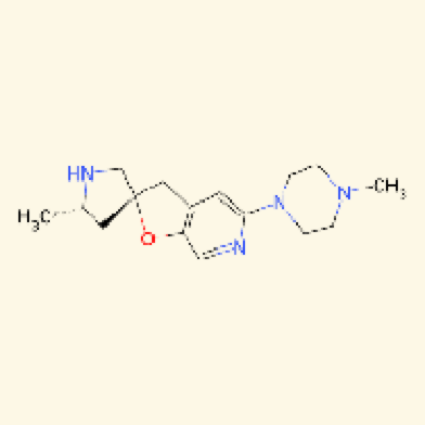 C[C@H]1C[C@@]2(CN1)Cc1cc(N3CCN(C)CC3)ncc1O2